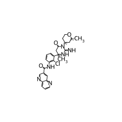 C[C@@H]1C[C@H](N2C(=N)N[C@](C)(c3cccc(NC(=O)c4cnc5cccnc5c4)c3Cl)CC2=O)CCO1